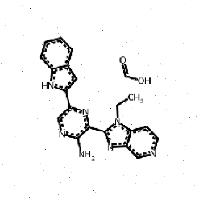 CCn1c(-c2nc(-c3cc4ccccc4[nH]3)cnc2N)nc2cnccc21.O=CO